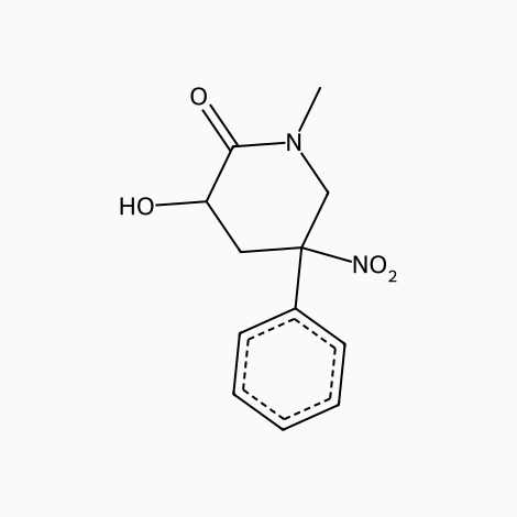 CN1CC(c2ccccc2)([N+](=O)[O-])CC(O)C1=O